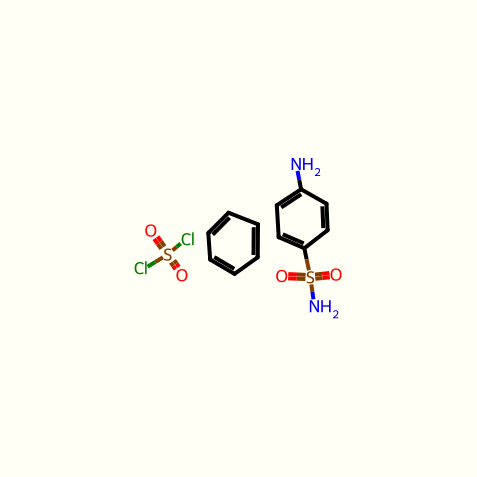 Nc1ccc(S(N)(=O)=O)cc1.O=S(=O)(Cl)Cl.c1ccccc1